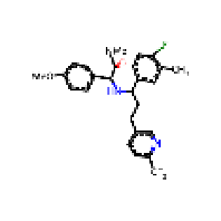 CNC(=O)C(NC(CCc1ccc(C(F)(F)F)nc1)c1ccc(F)c(C)c1)c1ccc(OC)cc1